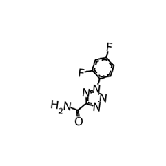 NC(=O)c1nnn(-c2ccc(F)cc2F)n1